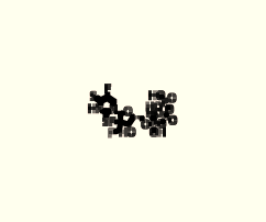 O=P(O)(O)OP(=O)(O)OP(=O)(O)OC[C@H]1O[C@@H](n2cc(F)c(=S)[nH]c2=S)C(F)(CF)[C@H]1O